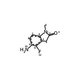 CN1C(=O)Cc2c1ccc(N)c2F